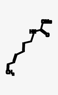 C=CC=CC=CCNC(=O)OC